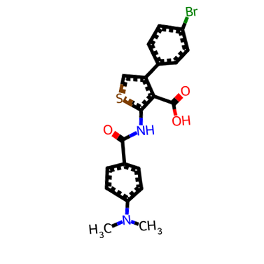 CN(C)c1ccc(C(=O)Nc2scc(-c3ccc(Br)cc3)c2C(=O)O)cc1